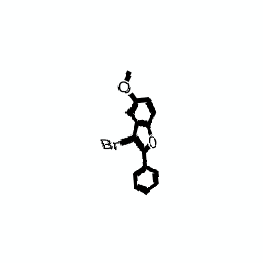 COc1ccc2oc(-c3ccccc3)c(Br)c2c1